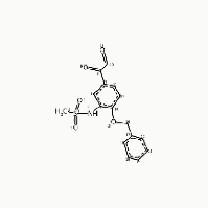 CS(=O)(=O)Nc1cc(C(=O)C=O)ccc1OCc1ccccc1